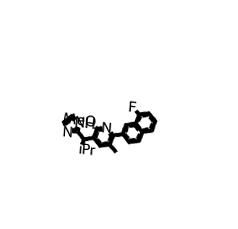 COc1nc(-c2ccc3cccc(F)c3c2)c(C)cc1C(c1ncc[nH]1)C(C)C